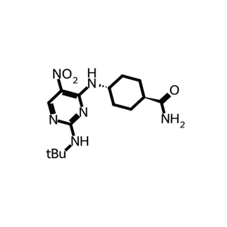 CC(C)(C)Nc1ncc([N+](=O)[O-])c(N[C@H]2CC[C@H](C(N)=O)CC2)n1